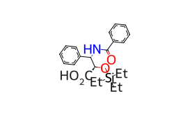 CC[Si](CC)(CC)O[C@@H](C(=O)O)[C@@H](NC(=O)c1ccccc1)c1ccccc1